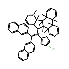 CC1=CC=CC2[CH]([Zr+2]([C]3=CC=CC3)=[C](c3ccc4ccccc4c3)c3ccc4ccccc4c3)C3(C)C4(C)C=CC=CC4(C)C4(C)C=CC=CC4(C)C3(C)C12C.[Cl-].[Cl-]